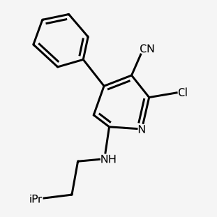 CC(C)CCNc1cc(-c2ccccc2)c(C#N)c(Cl)n1